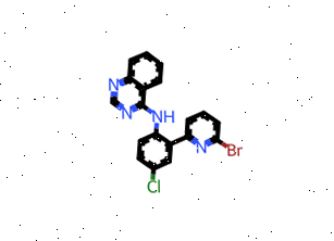 Clc1ccc(Nc2ncnc3ccccc23)c(-c2cccc(Br)n2)c1